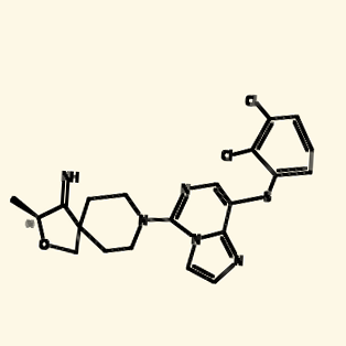 C[C@@H]1OCC2(CCN(c3ncc(Sc4cccc(Cl)c4Cl)c4nccn34)CC2)C1=N